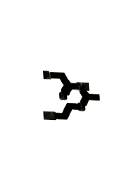 CC(NC(=O)CBr)OCCO